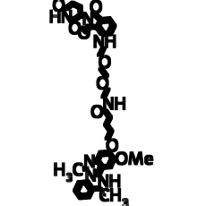 COc1cc2c(N[C@H](C)c3ccccc3)nc(C)nc2cc1OCCCCC(=O)NCCOCCOCCNc1cccc2c1C(=O)N(C1CCC(=O)NC1=O)C2=O